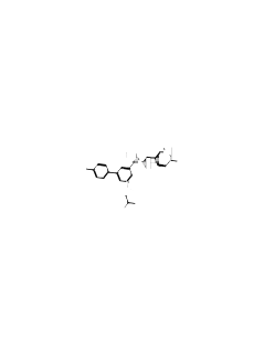 Cc1ccc(-c2cc(SCC(C)C)cc(C(=O)NCc3ccc(C)nc3)c2)cc1